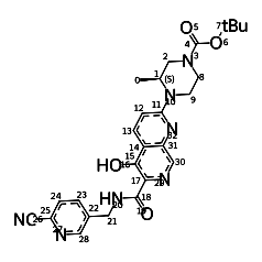 C[C@H]1CN(C(=O)OC(C)(C)C)CCN1c1ccc2c(O)c(C(=O)NCc3ccc(C#N)nc3)ncc2n1